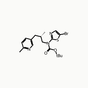 Cc1ccc(C[C@H](C)CN(C(=O)OC(C)(C)C)c2ncc(Br)s2)cn1